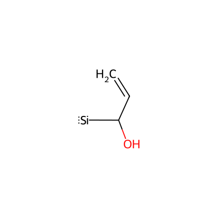 C=CC(O)[Si]